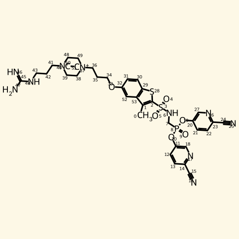 Cc1c(S(=O)(=O)NCP(=O)(Oc2ccc(C#N)nc2)Oc2ccc(C#N)nc2)sc2ccc(OCCC[N+]34CC[N+](CCCNC(=N)N)(CC3)CC4)cc12